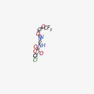 O=C1C[C@H](C(=O)NC23CC(n4cc(O[C@@H]5CC[C@H](OC(F)(F)F)C5)cn4)(C2)C3)Oc2ccc(Cl)cc21